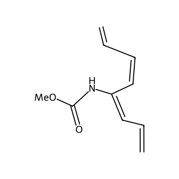 C=C/C=C\C(=C/C=C)NC(=O)OC